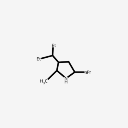 CCCC1CC(C(CC)CC)C(C)N1